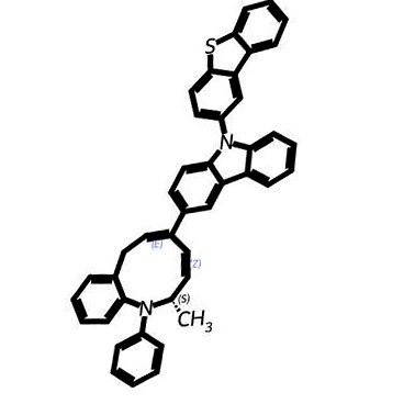 C[C@H]1/C=C\C(c2ccc3c(c2)c2ccccc2n3-c2ccc3sc4ccccc4c3c2)=C/Cc2ccccc2N1c1ccccc1